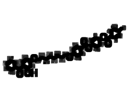 Cc1ccc(C(=O)Oc2ccc(OC(=O)c3ccc(OCCCCCCCCOc4ccc(C(=O)c5ccccc5)c(O)c4)cc3)cc2)cc1